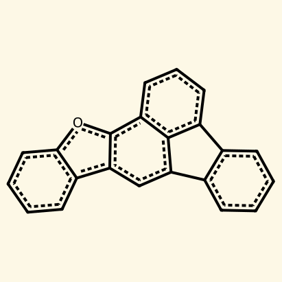 c1ccc2c(c1)-c1cccc3c1c-2cc1c2ccccc2oc31